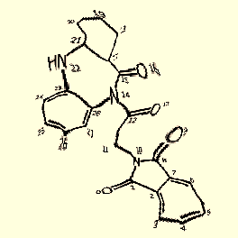 O=C1c2ccccc2C(=O)N1CC(=O)N1C(=O)C2CCCC2Nc2ccccc21